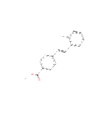 COC(=O)c1ccc(C=Cc2ccccc2C)cc1